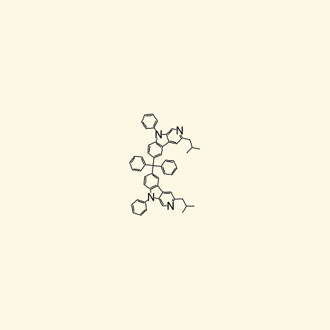 CC(C)Cc1cc2c3cc(C(c4ccccc4)(c4ccccc4)c4ccc5c(c4)c4cc(CC(C)C)ncc4n5-c4ccccc4)ccc3n(-c3ccccc3)c2cn1